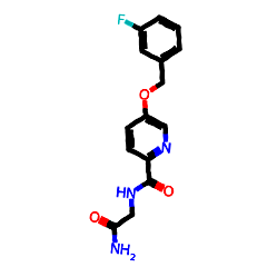 NC(=O)CNC(=O)c1ccc(OCc2cccc(F)c2)cn1